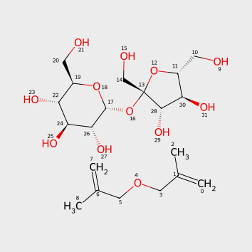 C=C(C)COCC(=C)C.OC[C@H]1O[C@@](CO)(O[C@H]2O[C@H](CO)[C@@H](O)[C@H](O)[C@H]2O)[C@@H](O)[C@@H]1O